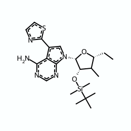 CC[C@H]1O[C@@H](n2cc(-c3nccs3)c3c(N)ncnc32)[C@@H](O[Si](C)(C)C(C)(C)C)C1C